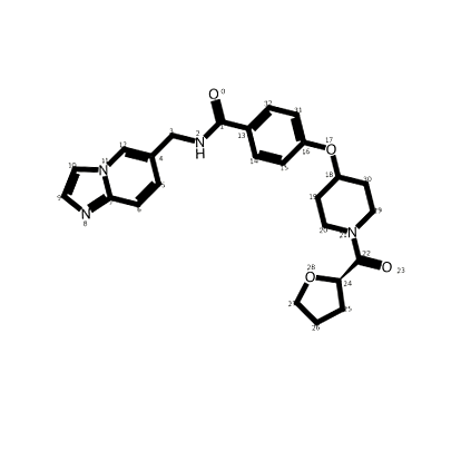 O=C(NCc1ccc2nccn2c1)c1ccc(OC2CCN(C(=O)[C@H]3CCCO3)CC2)cc1